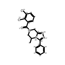 CC1CN(C(=O)c2cccc(Cl)c2Cl)Cc2nnc(-c3ccccc3)n21